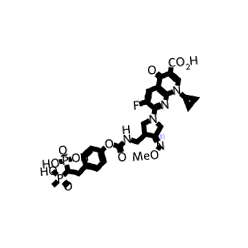 CO/N=C1/CN(c2nc3c(cc2F)c(=O)c(C(=O)O)cn3C2CC2)CC1CNC(=O)Oc1ccc(CC(P(C)(=O)O)P(=O)(O)O)cc1